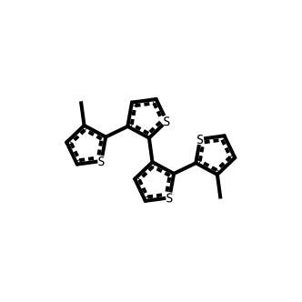 Cc1ccsc1-c1ccsc1-c1ccsc1-c1sccc1C